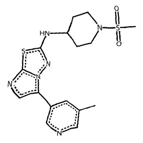 Cc1cncc(-c2cnc3sc(NC4CCN(S(C)(=O)=O)CC4)nn23)c1